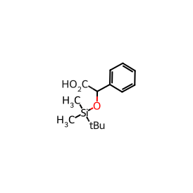 CC(C)(C)[Si](C)(C)OC(C(=O)O)c1ccccc1